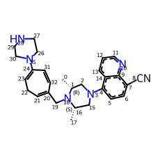 C[C@@H]1CN(c2ccc(C#N)c3ncccc23)C[C@H](C)N1CC1=CCC=C(N2CCNCC2)C=C1